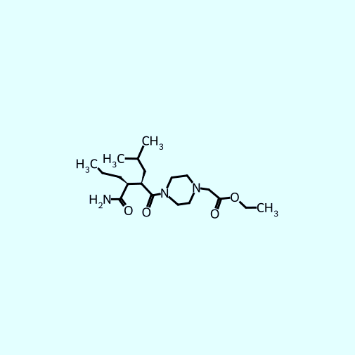 CCC[C@H](C(N)=O)[C@@H](CC(C)C)C(=O)N1CCN(CC(=O)OCC)CC1